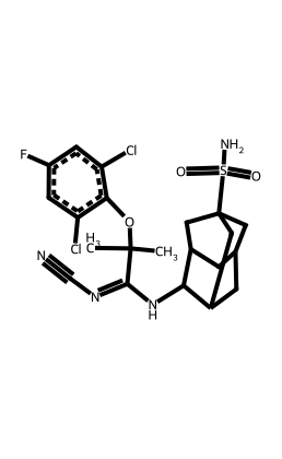 CC(C)(Oc1c(Cl)cc(F)cc1Cl)/C(=N\C#N)NC1C2CC3CC1CC(S(N)(=O)=O)(C3)C2